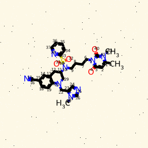 Cc1cc(=O)n(CCCCN(C2Cc3cc(C#N)ccc3N(Cc3cncn3C)C2)S(=O)(=O)c2ccccn2)c(=O)n1C